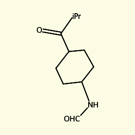 CC(C)C(=O)C1CCC(NC=O)CC1